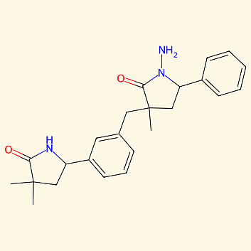 CC1(C)CC(c2cccc(CC3(C)CC(c4ccccc4)N(N)C3=O)c2)NC1=O